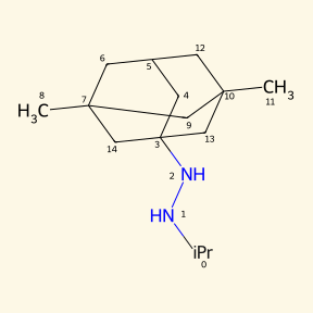 CC(C)NNC12CC3CC(C)(CC(C)(C3)C1)C2